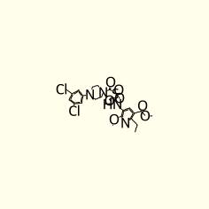 CCc1nc(OC)c(NOS(=O)(=O)C(=O)N2CCN(c3cc(Cl)cc(Cl)c3)CC2)cc1C(=O)OC